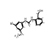 O=C(Nc1cc(Br)cc(OC(F)(F)F)c1)Nc1ccccc1CO